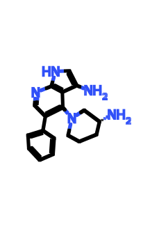 Nc1c[nH]c2ncc(-c3ccccc3)c(N3CCC[C@@H](N)C3)c12